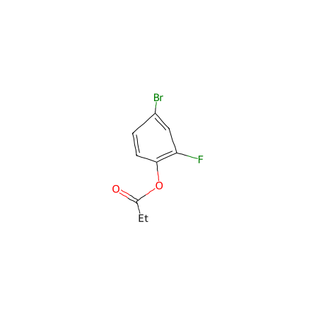 CCC(=O)Oc1ccc(Br)cc1F